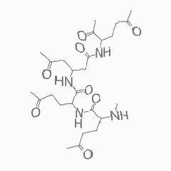 CNC(CCC(C)=O)C(=O)NC(CCC(C)=O)C(=O)NC(CC(C)=O)CC(=O)NC(CCC(C)=O)C(C)=O